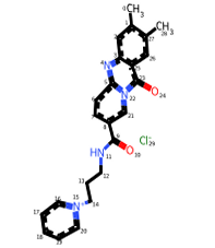 Cc1cc2nc3ccc(C(=O)NCCC[n+]4ccccc4)cn3c(=O)c2cc1C.[Cl-]